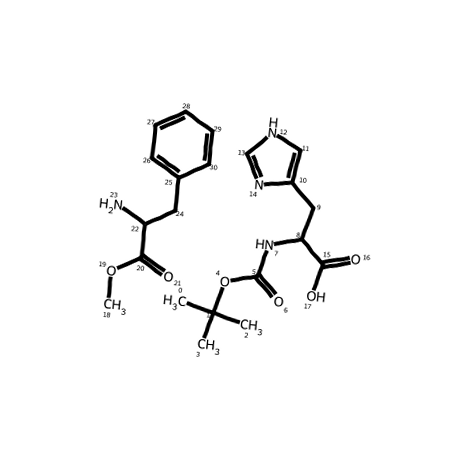 CC(C)(C)OC(=O)NC(Cc1c[nH]cn1)C(=O)O.COC(=O)C(N)Cc1ccccc1